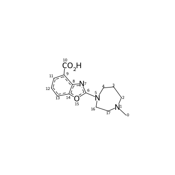 CN1CCCN(c2nc3c(C(=O)O)cccc3o2)CC1